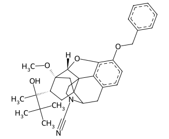 CO[C@]12CC3(C[C@@H]1C(C)(O)C(C)(C)C)C1Cc4ccc(OCc5ccccc5)c5c4C3(CCN1C#N)[C@H]2O5